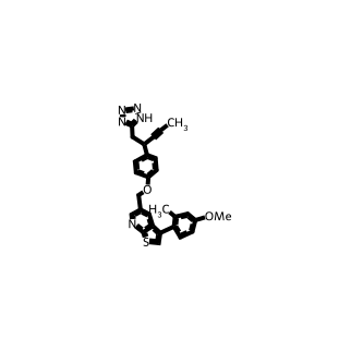 CC#CC(Cc1nnn[nH]1)c1ccc(OCc2cnc3scc(-c4ccc(OC)cc4C)c3c2)cc1